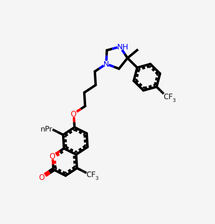 CCCc1c(OCCCCN2CNC(C)(c3ccc(C(F)(F)F)cc3)C2)ccc2c(C(F)(F)F)cc(=O)oc12